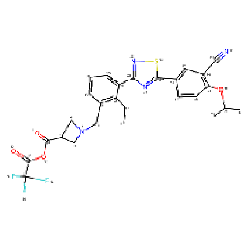 CCc1c(CN2CC(C(=O)OC(=O)C(F)(F)F)C2)cccc1-c1nsc(-c2ccc(OC(C)C)c(C#N)c2)n1